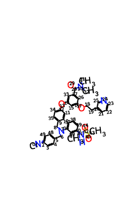 [C-]#[N+]c1ccc(CN(Cc2ccc(Oc3cc(OCCc4cccnc4)cc(C(=O)N(C)C)c3)cc2)c2cccc(NS(C)(=O)=O)c2C)cc1